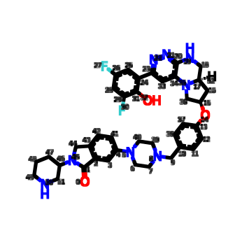 O=C1c2cc(N3CCN(Cc4ccc(O[C@@H]5C[C@@H]6CNc7nnc(-c8cc(F)cc(F)c8O)cc7N6C5)cc4)CC3)ccc2CN1C1CCCNC1